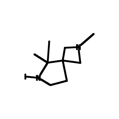 CN1CC2(CCN(I)C2(C)C)C1